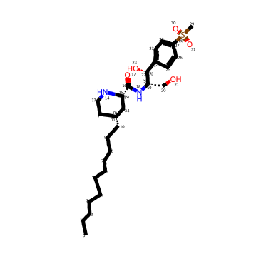 CCCCCCCCCCC[C@@H]1CCN[C@H](C(=O)N[C@@H](CO)[C@H](O)c2ccc(S(C)(=O)=O)cc2)C1